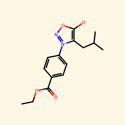 CCOC(=O)c1ccc(-[n+]2noc([O-])c2CC(C)C)cc1